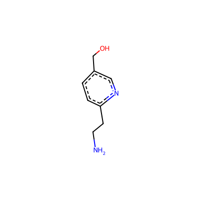 NCCc1ccc(CO)cn1